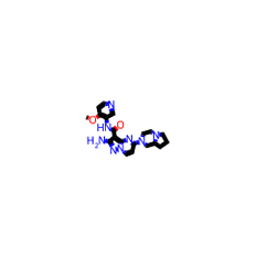 COc1ccncc1NC(=O)c1c(N)nn2ccc(N3CCN4CCCC4C3)nc12